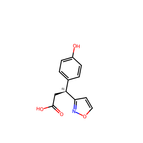 O=C(O)C[C@@H](c1ccc(O)cc1)c1ccon1